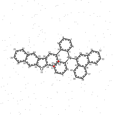 c1ccc(N(c2ccccc2-c2ccc3oc4cc5ccccc5cc4c3c2)c2cc3ccccc3c3ccccc23)cc1